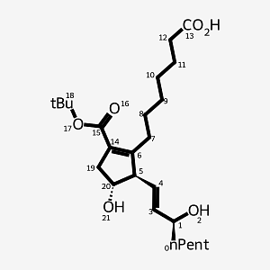 CCCCC[C@H](O)/C=C/[C@@H]1C(CCCCCCC(=O)O)=C(C(=O)OC(C)(C)C)C[C@H]1O